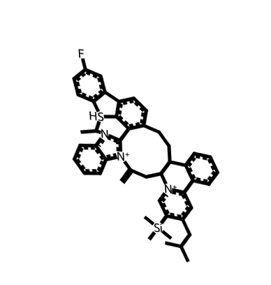 C=C1CC2C(CCc3ccc4c5c3-c3n(c6ccccc6[n+]31)C(C)[SH]5c1ccc(F)cc1-4)c1ccccc1-c1cc(CC(C)C)c([Si](C)(C)C)c[n+]12